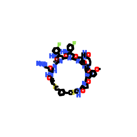 COc1ccc(C[C@@H]2NC(=O)[C@@H]3CCCCC(=O)N[C@H]4C[C@@H](C(=O)N3)N(C4)C(=O)[C@H](Cc3c[nH]c4ccc(F)cc34)NC(=O)[C@H](Cc3c[nH]c4ccc(F)cc34)NC(=O)[C@@H](C)NC(=O)[C@H](CCCN=[N+]=[N-])NC(=O)CCSCc3cccc(c3)CCSCNC(=O)[C@]3(C)CCCN3C2=O)cc1